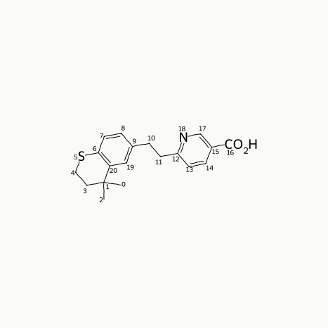 CC1(C)CCSc2ccc(CCc3ccc(C(=O)O)cn3)cc21